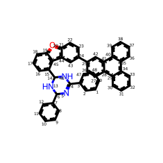 c1ccc(C2=NC(c3ccccc3)NC(c3cccc4oc5ccc(-c6ccc7c8ccccc8c8ccccc8c7c6)cc5c34)N2)cc1